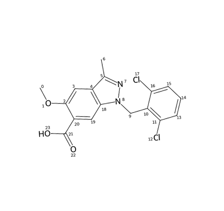 COc1cc2c(C)nn(Cc3c(Cl)cccc3Cl)c2cc1C(=O)O